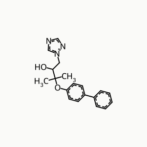 CC(C)(Oc1ccc(-c2ccccc2)cc1)C(O)Cn1cncn1